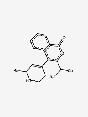 CC(O)c1oc(=O)c2ccccc2c1C1=CC(C(C)(C)C)NCC1